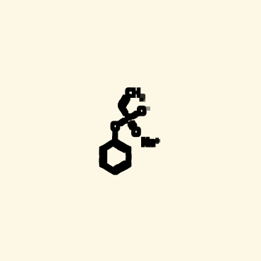 C=CP(=O)([O-])Oc1ccccc1.[Na+]